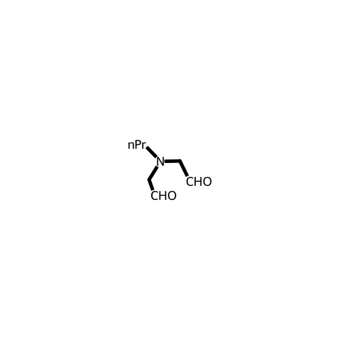 CCCN(CC=O)CC=O